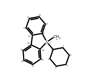 CS1(C2CCCCC2)c2ccccc2-c2ccccc21